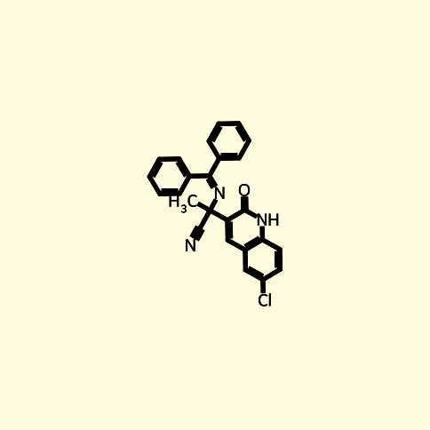 CC(C#N)(N=C(c1ccccc1)c1ccccc1)c1cc2cc(Cl)ccc2[nH]c1=O